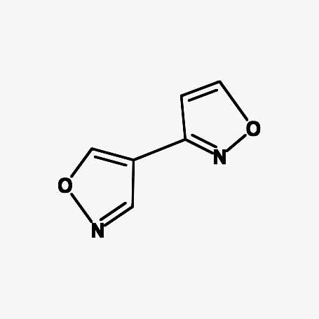 c1cc(-c2cnoc2)no1